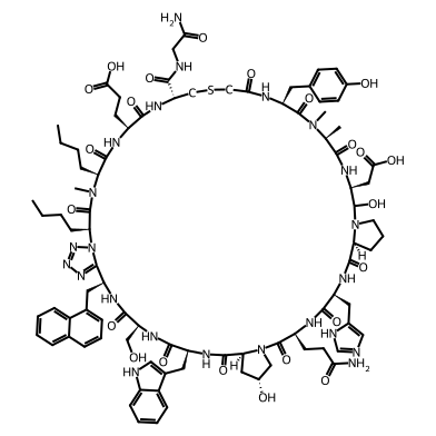 CCCC[C@H]1C(=O)N[C@@H](CCC(=O)O)C(=O)N[C@H](C(=O)NCC(N)=O)CSCC(=O)N[C@@H](Cc2ccc(O)cc2)C(=O)N(C)[C@@H](C)C(=O)N[C@@H](CC(=O)O)C(O)N2CCC[C@H]2C(=O)N[C@@H](Cc2cnc[nH]2)C(=O)N[C@@H](CCC(N)=O)C(=O)N2C[C@H](O)C[C@H]2C(=O)N[C@@H](Cc2c[nH]c3ccccc23)C(=O)N[C@@H](CO)C(=O)N[C@@H](Cc2cccc3ccccc23)c2nnnn2[C@@H](CCCC)C(=O)N1C